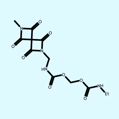 CCNC(=O)OCOC(=O)NCN1C(=O)C2(C(=O)N(C)C2=O)C1=O